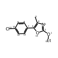 CCOc1nc(C)c(-c2ccc(Cl)cc2)o1